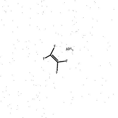 FC(F)=C(F)F.[AlH3]